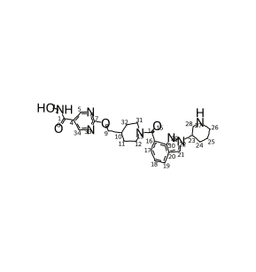 O=C(NO)c1cnc(OCC2CCN(C(=O)c3cccc4cn(C5CCCNC5)nc34)CC2)nc1